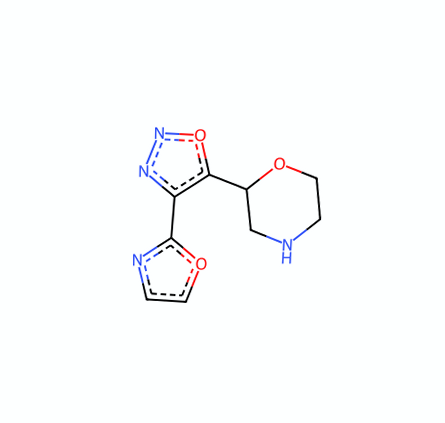 c1coc(-c2nnoc2C2CNCCO2)n1